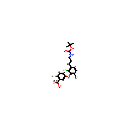 CC(C)(C)OC(=O)NCCCc1ccc(Cl)c(Oc2ccc(F)c(C(=O)O)c2)c1F